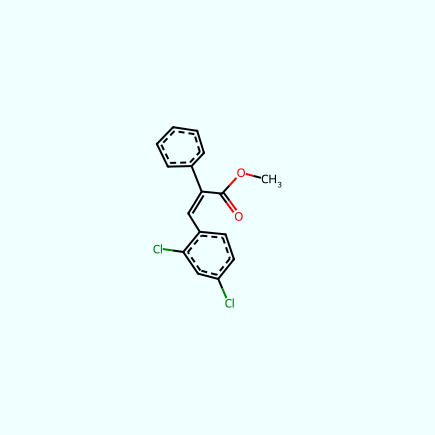 COC(=O)C(=Cc1ccc(Cl)cc1Cl)c1ccccc1